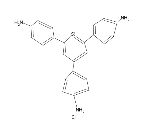 Nc1ccc(-c2cc(-c3ccc(N)cc3)[s+]c(-c3ccc(N)cc3)c2)cc1.[Cl-]